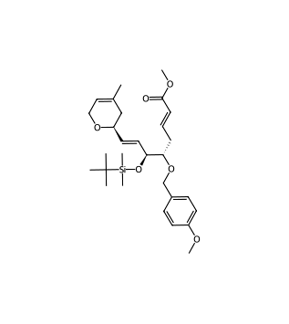 COC(=O)/C=C/C[C@H](OCc1ccc(OC)cc1)[C@H](/C=C/[C@@H]1CC(C)=CCO1)O[Si](C)(C)C(C)(C)C